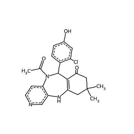 CC(=O)N1c2ccncc2NC2=C(C(=O)CC(C)(C)C2)C1c1ccc(O)cc1Cl